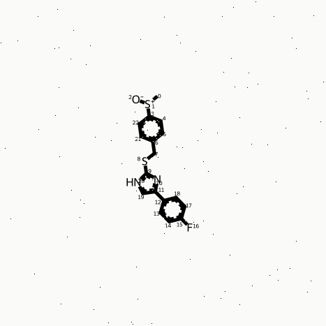 C[S+]([O-])c1ccc(CSc2nc(-c3ccc(F)cc3)c[nH]2)cc1